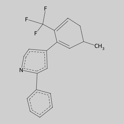 CC1C=C(c2ccnc(-c3ccccc3)c2)C(C(F)(F)F)=CC1